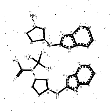 CC(C)(C)N(C(=O)O)[C@H]1CC[C@H](Nc2nc3cccnc3s2)C1.N[C@H]1CC[C@H](Nc2nc3cccnc3s2)C1